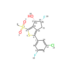 CS(=O)(=O)c1sc(-c2cc(F)cc(Cl)c2)c2c1[C@H](O)[C@H](F)C2